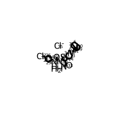 C[N+]1(CC23CC4CC(CC(C4)C2)C3)CCc2c(sc(NC(=O)Nc3ccc(Cl)cc3)c2C(N)=O)C1.[Cl-]